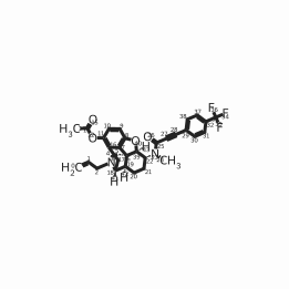 C=CCN1CC[C@@]23c4c5ccc(OC(C)=O)c4C[C@@H]1[C@@H]2CC[C@@H](N(C)C(=O)C#Cc1ccc(C(F)(F)F)cc1)[C@@H]3O5